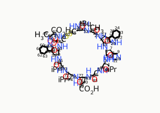 CC(C)C[C@@H]1NC(=O)[C@H](Cc2cnc[nH]2)NC(=O)[C@H](Cc2c[nH]c3ccccc23)NC(=O)[C@H](C)NC(=O)[C@@H](NC(C)(C)C)CSSC[C@@H](C(=O)N[C@H](C(=O)O)[C@@H](C)O)NC(=O)[C@H](Cc2c[nH]c3ccccc23)NC(=O)[C@H](C(C)C)NC(=O)[C@H](CC(C)C)NC(=O)[C@H](CCC(=O)O)NC(=O)CNC1=O